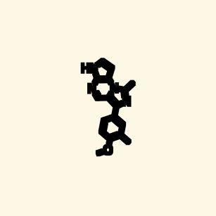 COc1ccc(-c2nc(C)n3c2cnc2[nH]ccc23)cc1C